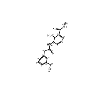 CC1C(C(=O)NC(C)(C)C)=NC=CC1NC(=O)Cc1cccc(CBr)c1